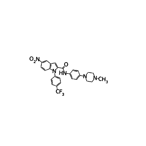 CN1CCN(c2ccc(NC(=O)c3cc4cc([N+](=O)[O-])ccc4n3-c3ccc(C(F)(F)F)cc3)cc2)CC1